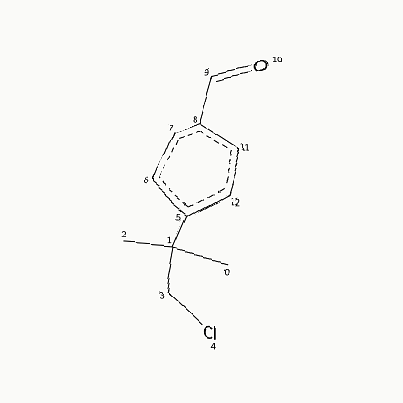 CC(C)(CCl)c1ccc(C=O)cc1